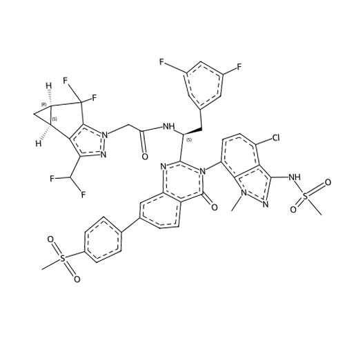 Cn1nc(NS(C)(=O)=O)c2c(Cl)ccc(-n3c([C@H](Cc4cc(F)cc(F)c4)NC(=O)Cn4nc(C(F)F)c5c4C(F)(F)[C@@H]4C[C@H]54)nc4cc(-c5ccc(S(C)(=O)=O)cc5)ccc4c3=O)c21